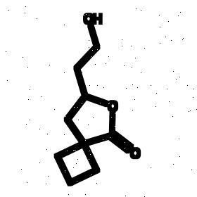 O=C1OC(CCO)CC12CCC2